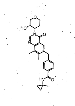 Cc1c(Cc2ccc(C(=O)NC3(C)CC3)cc2)cc2c(=O)n([C@H]3CCOC[C@@H]3O)cnc2c1C